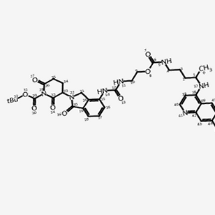 CC(CCCNC(=O)OCCNC(=O)Nc1cccc2c1CN(C1CCC(=O)N(C(=O)OC(C)(C)C)C1=O)C2=O)Nc1ccnc2cc(Cl)ccc12